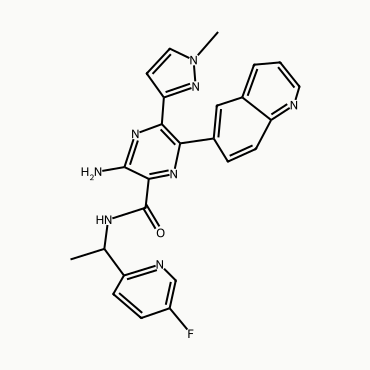 CC(NC(=O)c1nc(-c2ccc3ncccc3c2)c(-c2ccn(C)n2)nc1N)c1ccc(F)cn1